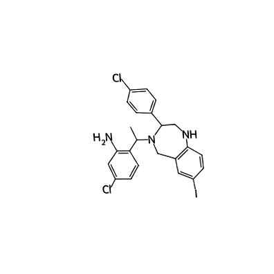 CC(c1ccc(Cl)cc1N)N1Cc2cc(I)ccc2NCC1c1ccc(Cl)cc1